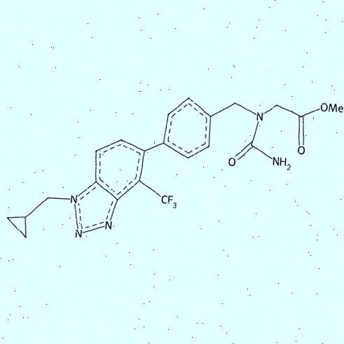 COC(=O)CN(Cc1ccc(-c2ccc3c(nnn3CC3CC3)c2C(F)(F)F)cc1)C(N)=O